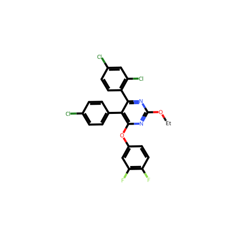 CCOc1nc(Oc2ccc(F)c(F)c2)c(-c2ccc(Cl)cc2)c(-c2ccc(Cl)cc2Cl)n1